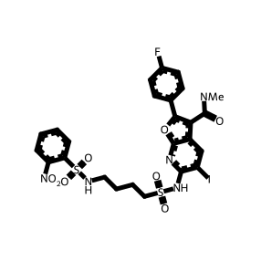 CNC(=O)c1c(-c2ccc(F)cc2)oc2nc(NS(=O)(=O)CCCCNS(=O)(=O)c3ccccc3[N+](=O)[O-])c(I)cc12